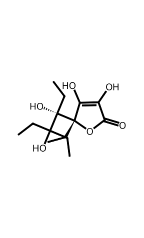 CCC(O)(CC)[C@@](O)(CC)[C@@]1(CC)OC(=O)C(O)=C1O